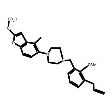 C=CCc1cccc(CN2CCN(c3ccc4oc(OC(=O)O)cc4c3C)CC2)c1OC